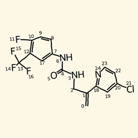 C=C(CNC(=O)Nc1ccc(F)c(C(F)(F)F)c1)c1cc(Cl)ccn1